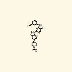 CC(=O)N1CCN(C2=CN=C(Nc3ncc(Cl)c(Nc4cccc(C(F)(F)F)c4)n3)[C@H](C)C2)CC1